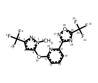 Cn1nc(C(F)(F)F)cc1Oc1cccc(-c2noc(C(F)(F)F)n2)n1